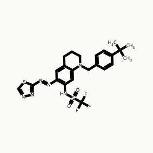 CC(C)(C)c1ccc(CN2CCCc3cc(N=Nc4nncs4)c(NS(=O)(=O)C(F)(F)F)cc32)cc1